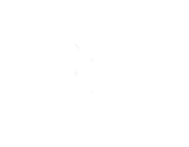 N#CC1(C#N)CCCCC1.O=C(O)O